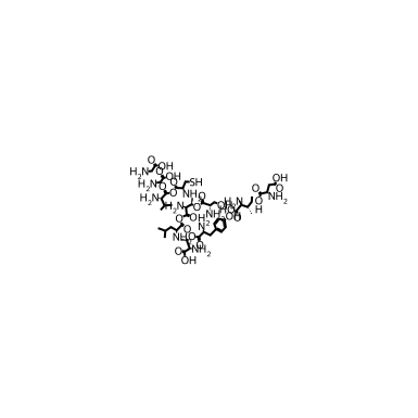 CC(C)C[C@H](N)C(=O)OC(=O)[C@@H](N)[C@@H](C)OC(=O)[C@@H](N)CO.CC(C)[C@H](N)C(=O)OC(=O)[C@@H](N)CS.CC[C@H](C)[C@H](N)C(=O)O.C[C@@H](OC(=O)[C@@H](N)Cc1ccc(O)cc1)[C@H](N)C(=O)O.NCC(=O)O.NCC(=O)O.N[C@@H](CC(=O)O)C(=O)O